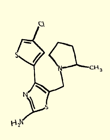 CC1CCCN1Cc1sc(N)nc1-c1cc(Cl)cs1